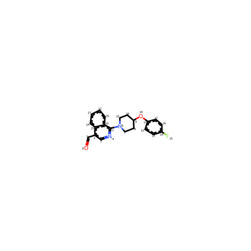 O=Cc1cnc(N2CCC(Oc3ccc(F)cc3)CC2)c2ccccc12